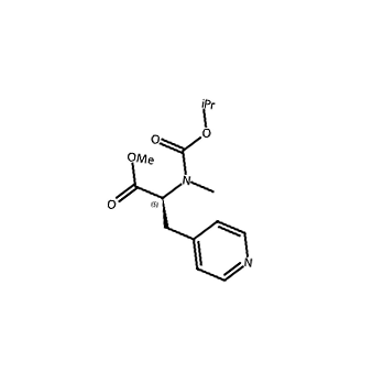 COC(=O)[C@H](Cc1ccncc1)N(C)C(=O)OC(C)C